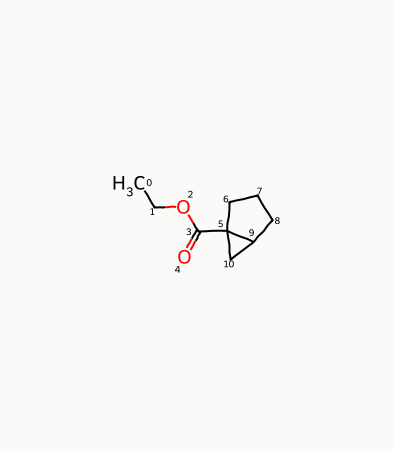 CCOC(=O)C12CCCC1C2